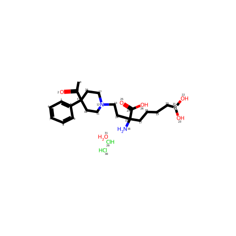 CC(=O)C1(c2ccccc2)CCN(CCC(N)(CCCCB(O)O)C(=O)O)CC1.Cl.Cl.O